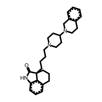 O=C1Nc2cccc3c2C1(CCCCN1CCC(N2CCc4ccccc4C2)CC1)CCC3